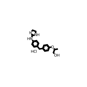 CC(CO)Oc1ccc(Cc2ccc(NC3=NCCN3)cc2)cc1.Cl